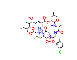 C/C=C(\C)[C@@H](OC(=O)[C@@H](C)N)[C@@H](C)[C@H](C/C=C(\C)C(=O)O[C@H](CC(C)C)C(=O)N[C@@H](C)C(=O)N(C)[C@H](Cc1ccc(Cl)cc1)C(=O)N(C)CC(=O)NC(C(=O)O)C(C)CC)OI